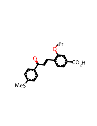 CSc1ccc(C(=O)/C=C/c2ccc(C(=O)O)cc2OC(C)C)cc1